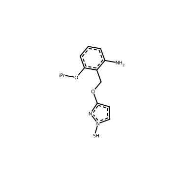 CC(C)Oc1cccc(N)c1COc1ccn(S)n1